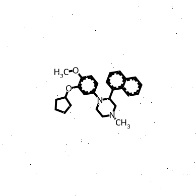 COc1ccc(N2CCN(C)CC2c2cccc3ccccc23)cc1OC1CCCC1